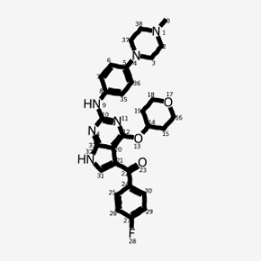 CN1CCN(c2ccc(Nc3nc(OC4CCOCC4)c4c(C(=O)c5ccc(F)cc5)c[nH]c4n3)cc2)CC1